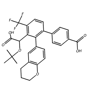 CC(C)(C)OC(C(=O)O)c1c(C(F)(F)F)ccc(-c2ccc(C(=O)O)cc2)c1-c1ccc2c(c1)CCCO2